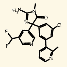 Cc1ncccc1-c1cc(Cl)cc(C2(c3cncc(C(F)F)c3)N=C(N)N(C)C2=O)c1